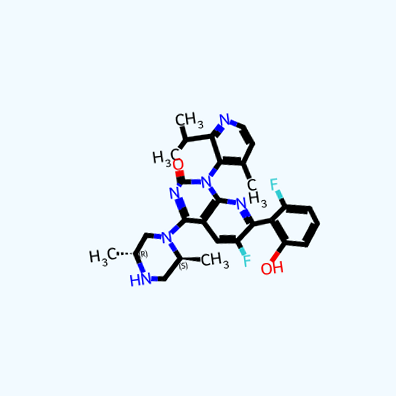 Cc1ccnc(C(C)C)c1-n1c(=O)nc(N2C[C@@H](C)NC[C@@H]2C)c2cc(F)c(-c3c(O)cccc3F)nc21